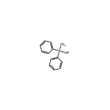 C[Si](O)(c1ccccc1)c1ccccc1